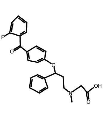 CN(CCC(Oc1ccc(C(=O)c2ccccc2F)cc1)c1ccccc1)CC(=O)O